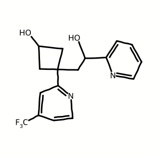 OC1CC(CC(O)c2ccccn2)(c2cc(C(F)(F)F)ccn2)C1